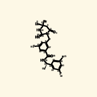 CC[C@@]1(C(C)C)CC(=O)N(Cc2cc(F)cc(C(=O)N[C@@H](C)c3cc(F)cc(F)c3)c2)C(=N)N1